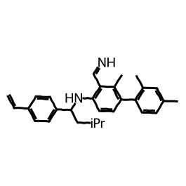 C=Cc1ccc(C(CC(C)C)Nc2ccc(-c3ccc(C)cc3C)c(C)c2C=N)cc1